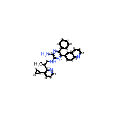 CC(CNc1nc(-c2ccc3ncccc3c2)c(-c2ccccc2)nc1N)c1ncccc1C1CC1